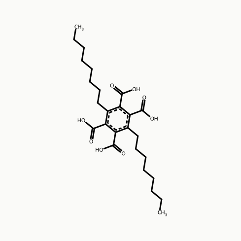 CCCCCCCCc1c(C(=O)O)c(C(=O)O)c(CCCCCCCC)c(C(=O)O)c1C(=O)O